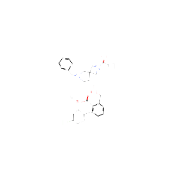 CC(C)(C)OC(=O)c1c(COC[C@@H]2CN(Cc3ccccc3)CC23CN(C(=O)C(F)(F)F)C3)cccc1C1CCC(F)CC1